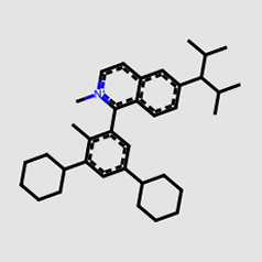 Cc1c(-c2c3ccc(C(C(C)C)C(C)C)cc3cc[n+]2C)cc(C2CCCCC2)cc1C1CCCCC1